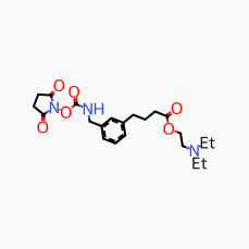 CCN(CC)CCOC(=O)CCCc1cccc(CNC(=O)ON2C(=O)CCC2=O)c1